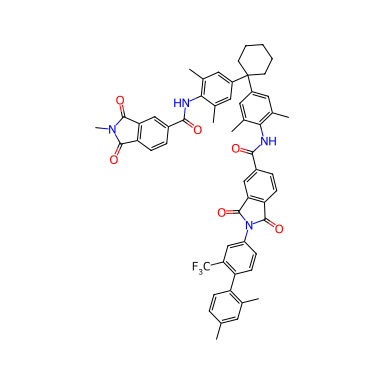 Cc1ccc(-c2ccc(N3C(=O)c4ccc(C(=O)Nc5c(C)cc(C6(c7cc(C)c(NC(=O)c8ccc9c(c8)C(=O)N(C)C9=O)c(C)c7)CCCCC6)cc5C)cc4C3=O)cc2C(F)(F)F)c(C)c1